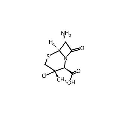 C[C@@]1(Cl)CS[C@H]2[C@H](N)C(=O)N2[C@H]1C(=O)O